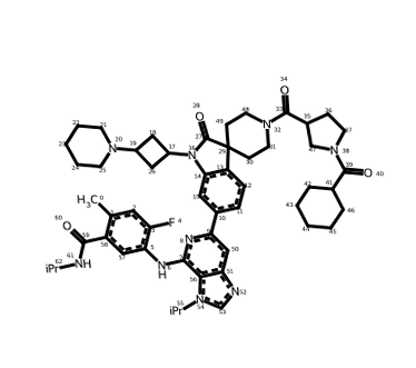 Cc1cc(F)c(Nc2nc(-c3ccc4c(c3)N(C3CC(N5CCCCC5)C3)C(=O)C43CCN(C(=O)C4CCN(C(=O)C5CCCCC5)C4)CC3)cc3ncn(C(C)C)c23)cc1C(=O)NC(C)C